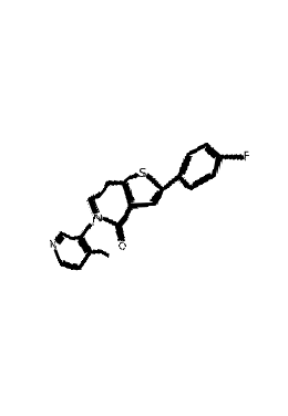 Cc1ccncc1N1CCc2sc(-c3ccc(F)cc3)cc2C1=O